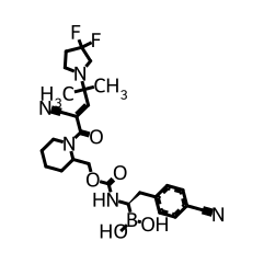 CC(C)(C=C(C#N)C(=O)N1CCCCC1COC(=O)N[C@@H](Cc1ccc(C#N)cc1)B(O)O)N1CCC(F)(F)C1